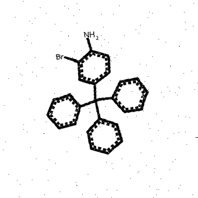 Nc1ccc(C(c2ccccc2)(c2ccccc2)c2ccccc2)cc1Br